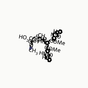 C/C=N/OCC(=O)NC(CSSC(C)(C)CCC(=O)Nc1cc(COc2cc3c(cc2OC)C(=O)N2c4ccccc4C[C@H]2C=N3)cc(COc2cc3c(cc2OC)C(=O)N2c4ccccc4C[C@H]2CN3)c1)C(=O)O